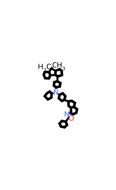 CC1(C)c2ccccc2-c2c(-c3ccc(N(c4ccccc4)c4ccc(-c5ccc6ccc7oc(-c8ccccc8)nc7c6c5)cc4)cc3)cccc21